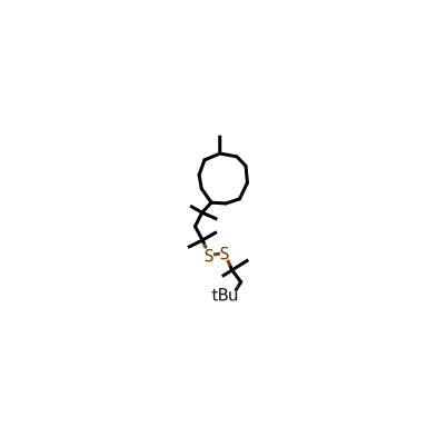 CC1CCCCCC(C(C)(C)CC(C)(C)SSC(C)(C)CC(C)(C)C)CCC1